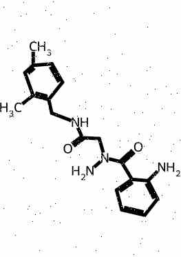 Cc1ccc(CNC(=O)CN(N)C(=O)c2ccccc2N)c(C)c1